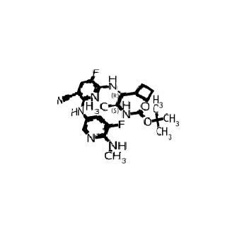 CNc1ncc(Nc2nc(N[C@H](C3CCC3)[C@H](C)NC(=O)OC(C)(C)C)c(F)cc2C#N)cc1F